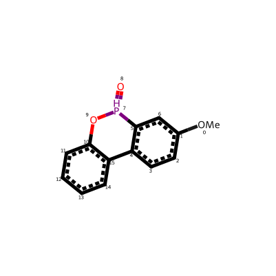 COc1ccc2c(c1)[PH](=O)Oc1ccccc1-2